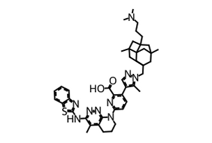 Cc1c(Nc2nc3ccccc3s2)nnc2c1CCCN2c1ccc(-c2cnn(CC34CC5(C)CC6(CCCN(C)C)CC(C)(C3)C6(C5)C4)c2C)c(C(=O)O)n1